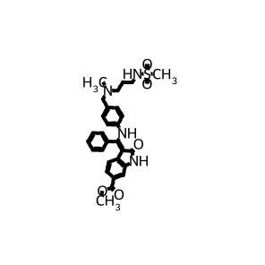 COC(=O)c1ccc2c(c1)NC(=O)/C2=C(\Nc1ccc(CN(C)CCCNS(C)(=O)=O)cc1)c1ccccc1